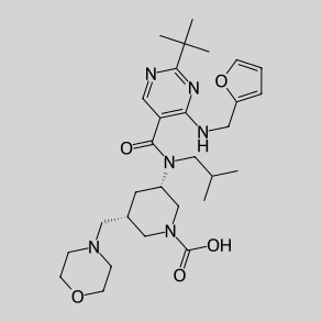 CC(C)CN(C(=O)c1cnc(C(C)(C)C)nc1NCc1ccco1)[C@H]1C[C@@H](CN2CCOCC2)CN(C(=O)O)C1